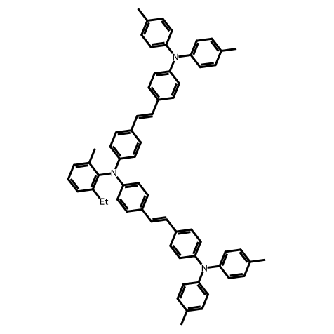 CCc1cccc(C)c1N(c1ccc(/C=C/c2ccc(N(c3ccc(C)cc3)c3ccc(C)cc3)cc2)cc1)c1ccc(/C=C/c2ccc(N(c3ccc(C)cc3)c3ccc(C)cc3)cc2)cc1